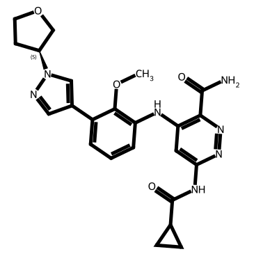 COc1c(Nc2cc(NC(=O)C3CC3)nnc2C(N)=O)cccc1-c1cnn([C@H]2CCOC2)c1